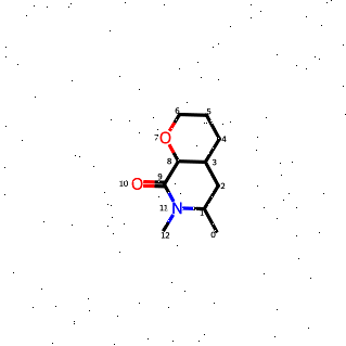 CC1CC2CCCOC2C(=O)N1C